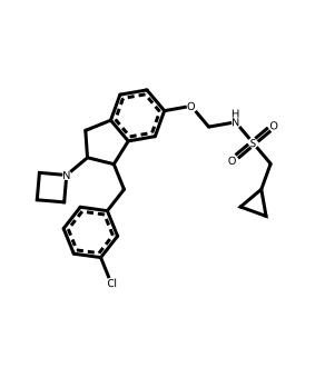 O=S(=O)(CC1CC1)NCOc1ccc2c(c1)C(Cc1cccc(Cl)c1)C(N1CCC1)C2